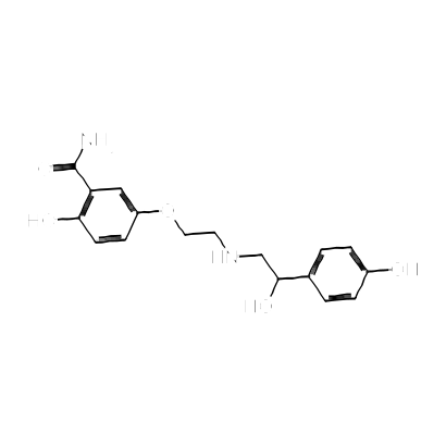 NC(=O)c1cc(OCCNCC(O)c2ccc(O)cc2)ccc1O